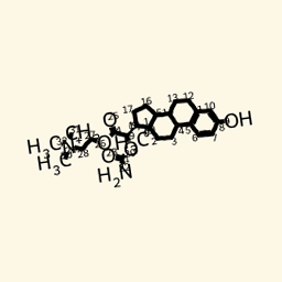 C[C@]12CCC3c4ccc(O)cc4CCC3C1CC[C@@H]2C(OC(N)=O)C(=O)OCC[N+](C)(C)C